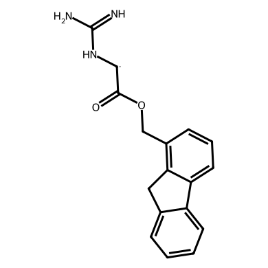 N=C(N)N[CH]C(=O)OCc1cccc2c1Cc1ccccc1-2